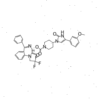 COc1cccc(-c2cn(C3CCN(C(=O)O[C@H]4N=C(c5ccccc5)c5ccccc5N(CC(F)(F)F)C4=O)CC3)c(=O)[nH]2)c1